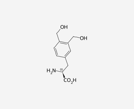 N[C@@H](Cc1ccc(CO)c(CO)c1)C(=O)O